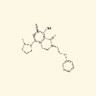 CN1CCCC1c1nc(=O)c(O)c2n1CCN(CCOc1ccccc1)C2=O